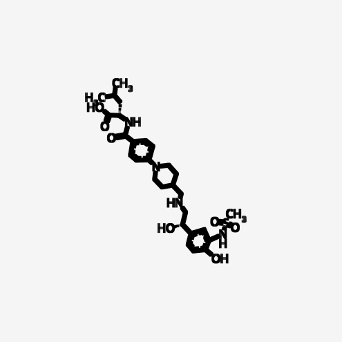 CC(C)C[C@H](NC(=O)c1ccc(N2CCC(CNC[C@@H](O)c3ccc(O)c(NS(C)(=O)=O)c3)CC2)cc1)C(=O)O